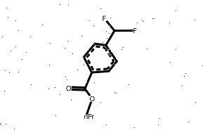 CCCOC(=O)c1ccc(C(F)F)cc1